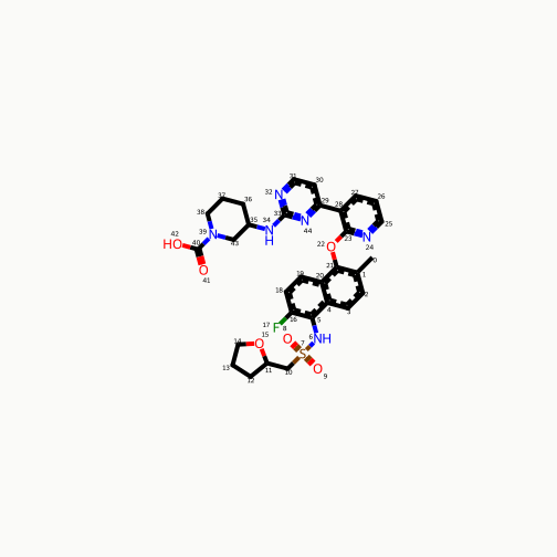 Cc1ccc2c(NS(=O)(=O)CC3CCCO3)c(F)ccc2c1Oc1ncccc1-c1ccnc(NC2CCCN(C(=O)O)C2)n1